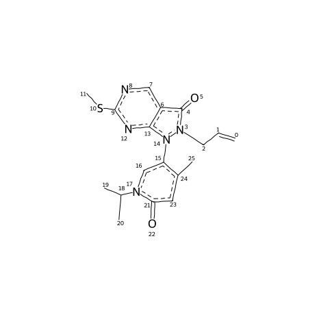 C=CCn1c(=O)c2cnc(SC)nc2n1-c1cn(C(C)C)c(=O)cc1C